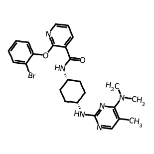 Cc1cnc(N[C@H]2CC[C@@H](NC(=O)c3cccnc3Oc3ccccc3Br)CC2)nc1N(C)C